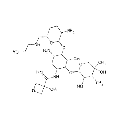 C[C@@H]1C(O)[C@@H](OC2C(O)C(O[C@H]3O[C@H](CNCCO)CCC3N)[C@@H](N)C[C@H]2NC(=N)C2(O)COC2)OCC1(C)O